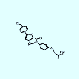 CC(O)CSc1ccc(-n2cnc3cc(-c4ccc(Cl)cc4)sc3c2=O)cc1